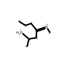 CCC/C(CC(C)P)=N/C